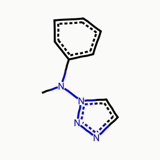 CN(c1ccccc1)n1ccnn1